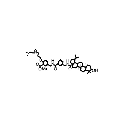 C=C(C)[C@@H]1CC[C@]2(C(=O)NCc3cccc(C(=O)NCc4ccc(OCCCN(C)CCN(C)C)c(C(=O)OC)c4)c3)CC[C@]3(C)C(CCC4[C@@]5(C)CC[C@H](O)C(C)(C)C5CC[C@]43C)C12